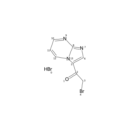 Br.O=C(CBr)c1cnc2ncccn12